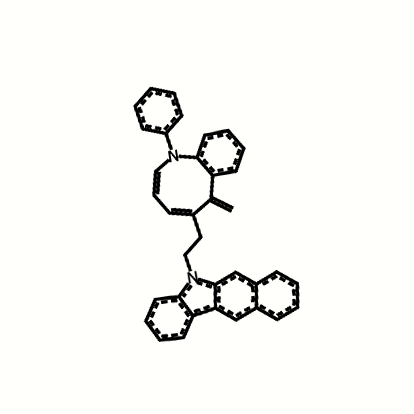 C=C1/C(CCn2c3ccccc3c3cc4ccccc4cc32)=C\C=C/N(c2ccccc2)c2ccccc21